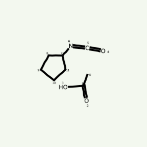 CC(=O)O.O=C=NC1CCCC1